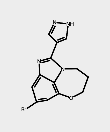 Brc1cc2c3c(c1)nc(-c1cn[nH]c1)n3CCCO2